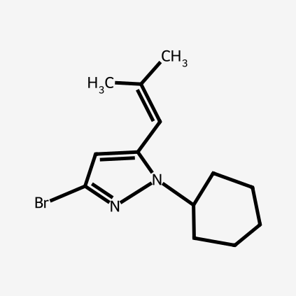 CC(C)=Cc1cc(Br)nn1C1CCCCC1